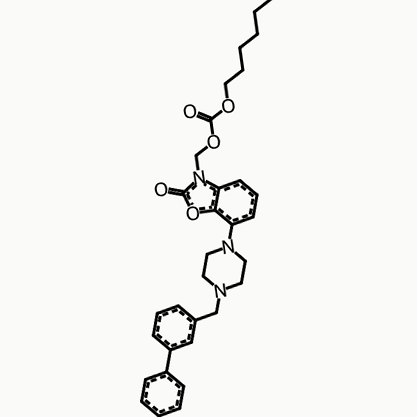 CCCCCCOC(=O)OCn1c(=O)oc2c(N3CCN(Cc4cccc(-c5ccccc5)c4)CC3)cccc21